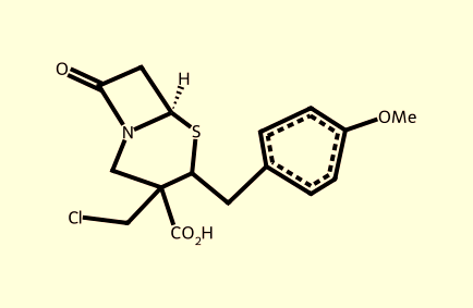 COc1ccc(CC2S[C@@H]3CC(=O)N3CC2(CCl)C(=O)O)cc1